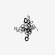 CN(C(=O)OCc1ccccc1)[C@@H](CC(C)(C)C)C(=O)N1C[C@]2(C[C@H]1C(N)=O)C(=O)Nc1ccccc12